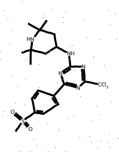 CC1(C)CC(Nc2nc(-c3ccc(S(C)(=O)=O)cc3)nc(C(Cl)(Cl)Cl)n2)CC(C)(C)N1